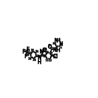 O=C(Nc1cncnc1)c1c(Cl)ccc2c(Nc3ccc(C(F)(F)F)cc3)noc12